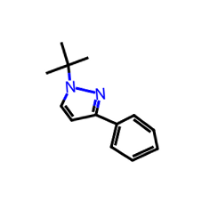 CC(C)(C)n1ccc(-c2ccccc2)n1